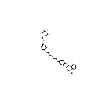 CCC(=O)N1c2ccccc2[C@H](Nc2ccc(NC(=O)CCCC(=O)Nc3ccc(OCCN4CCN(C)C(=O)[C@H]4C)cc3)cc2)C[C@@H]1C